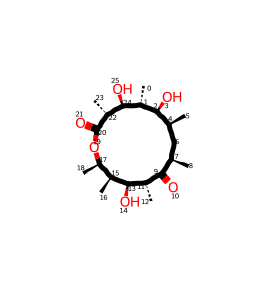 C[C@@H]1[C@@H](O)[C@@H](C)C[C@@H](C)C(=O)[C@H](C)[C@@H](O)[C@@H](C)[C@@H](C)OC(=O)[C@H](C)[C@H]1O